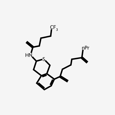 C=C(CCC)CCCC(=C)c1cccc2c1CSC(NC(=C)CCCC(F)(F)F)C2